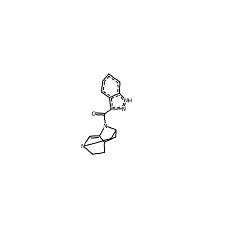 O=C(c1n[nH]c2ccccc12)N1C2=CN3CCC2CC1C3